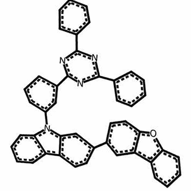 c1ccc(-c2nc(-c3ccccc3)nc(-c3cccc(-n4c5ccccc5c5ccc(-c6ccc7oc8ccccc8c7c6)cc54)c3)n2)cc1